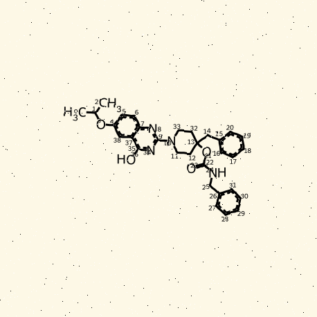 CC(C)Oc1ccc2nc(N3CCC(Cc4ccccc4)(OC(=O)NCc4ccccc4)CC3)nc(O)c2c1